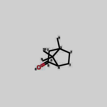 CC12CCC(C(=O)C1)C2(C)C